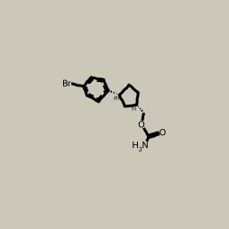 NC(=O)OC[C@H]1CC[C@@H](c2ccc(Br)cc2)C1